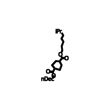 CCCCCCCCCCOC(=O)C1CCC(C(=O)OCCCCCC(C)C)CC1